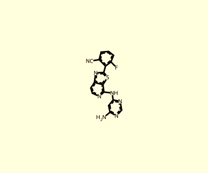 N#Cc1cccc(F)c1-c1nc2ccnc(Nc3cc(N)ncn3)c2s1